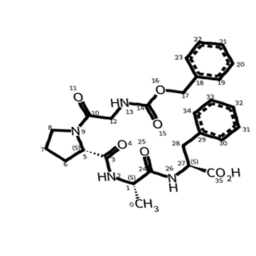 C[C@H](NC(=O)[C@@H]1CCCN1C(=O)CNC(=O)OCc1ccccc1)C(=O)N[C@@H](Cc1ccccc1)C(=O)O